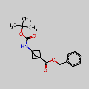 CC(C)(C)OC(=O)NC12CC(C(=O)OCc3ccccc3)(C1)C2